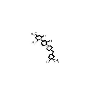 Cc1cc(=O)n(-c2ccc(N3CCC(Cc4ccc(Cl)c(C)c4)CC3)c(Cl)c2)c(C)n1